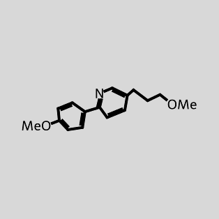 COCCCc1ccc(-c2ccc(OC)cc2)nc1